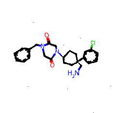 NC[C@]1(c2cccc(Cl)c2)CC[C@H](N2CC(=O)N(Cc3ccccc3)CC2=O)CC1